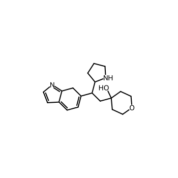 OC1(CC(C2=CC=C3C=CN=C3C2)C2CCCN2)CCOCC1